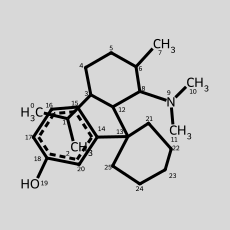 CC(C)C1CCC(C)C(N(C)C)C1C1(c2cccc(O)c2)CCCCC1